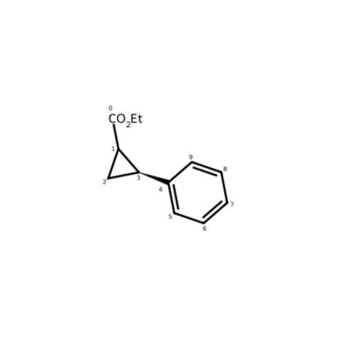 CCOC(=O)C1C[C@@H]1c1ccccc1